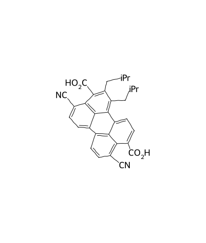 CC(C)Cc1c(C(=O)O)c2c(C#N)ccc3c4ccc(C#N)c5c(C(=O)O)ccc(c(c1CC(C)C)c23)c54